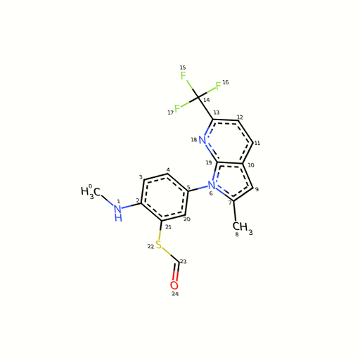 CNc1ccc(-n2c(C)cc3ccc(C(F)(F)F)nc32)cc1SC=O